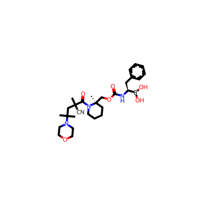 CC(C#N)(CC(C)(C)N1CCOCC1)C(=O)N1CCCC[C@]1(C)COC(=O)N[C@@H](Cc1ccccc1)B(O)O